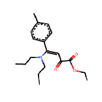 CCCN(CCC)/C(=C\C(=O)C(=O)OCC)c1ccc(C)cc1